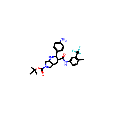 Cc1ccc(NC(=O)C2CC3CN(C(=O)OC(C)(C)C)CC3NC2c2ccc(N)cc2)cc1C(F)(F)F